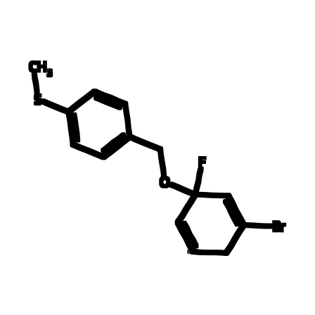 CSc1ccc(COC2(F)C=[C]CC(Br)=C2)cc1